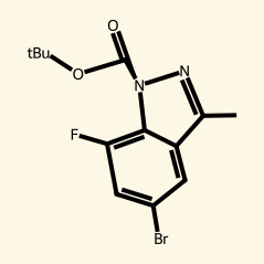 Cc1nn(C(=O)OC(C)(C)C)c2c(F)cc(Br)cc12